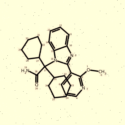 COc1ncccc1-c1nc2ccccc2n1C(C(N)=O)(C1CCCCC1)C1CCCCC1